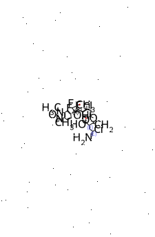 C=C(Oc1ccc([C@@H](C)[C@@](O)(c2ccc3c(c2)n(C)c(=O)n3C)C(F)(F)F)c(Cl)c1)/C(=C\C(Cl)=C/N)C(=O)O